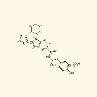 O=C(NC(Cc1ccc(O)c(C(=O)O)c1)C(=O)O)c1ccc2c(c1)nc(-c1ccoc1)n2C1CCCCC1